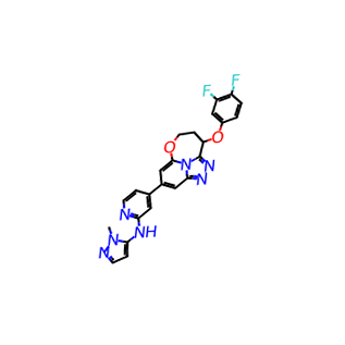 Cn1nccc1Nc1cc(-c2cc3n4c(nnc4c2)C(Oc2ccc(F)c(F)c2)CCO3)ccn1